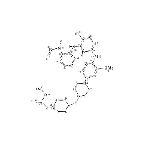 COc1cc(N2CCN(CC3CCN(CC(=O)OC(C)(C)C)CC3)CC2)ccc1Nc1ncc(Cl)c(Nc2ccccc2N(C)[SH]=O)n1